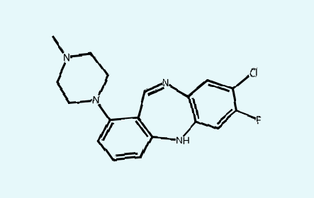 CN1CCN(c2cccc3c2C=Nc2cc(Cl)c(F)cc2N3)CC1